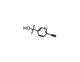 C#Cc1ccc(C(C)(C)O)cn1